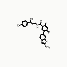 Cc1cc(F)c(-c2ccn3nc(N)nc3c2)cc1C(=O)NCCC(O)c1ccc(Cl)cc1